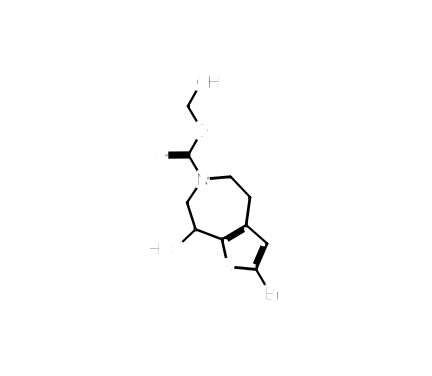 CCOC(=O)N1CCc2cc(Br)sc2C(C)C1